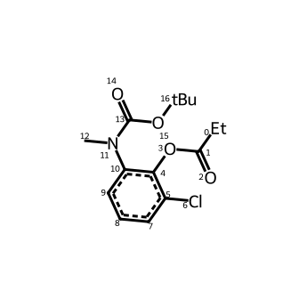 CCC(=O)Oc1c(Cl)cccc1N(C)C(=O)OC(C)(C)C